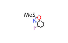 CSc1nc2c(I)cccc2o1